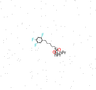 CCCO[SiH](CCCCCc1cc(F)c(F)cc1F)OCCC